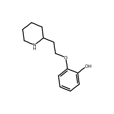 Oc1ccccc1OCCC1CCCCN1